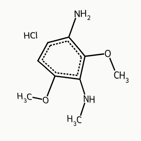 CNc1c(OC)ccc(N)c1OC.Cl